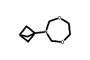 C1COCN(C23CC(C2)C3)CO1